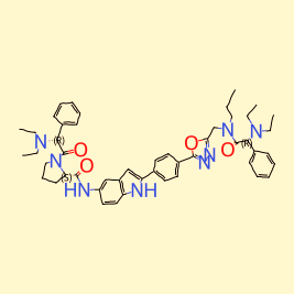 CCCN(Cc1nnc(-c2ccc(-c3cc4cc(NC(=O)[C@@H]5CCCN5C(=O)[C@@H](c5ccccc5)N(CC)CC)ccc4[nH]3)cc2)o1)C(=O)[C@@H](c1ccccc1)N(CC)CC